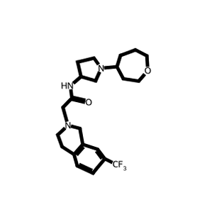 O=C(CN1CCc2ccc(C(F)(F)F)cc2C1)NC1CCN(C2CCCOCC2)C1